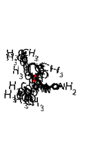 CC[C@H]1CCC[C@H](O[C@H]2CC[C@H](N(C)C)C(C)O2)[C@@H](C)C(=O)C2=C[C@@H]3[C@@H](C=C(n4cc(-c5ccc(N)cc5)nn4)[C@@H]4C[C@@H](O[C@@H]5OC(C)[C@H](OC)C(OC)C5OC)C[C@@H]34)[C@@H]2CC(=O)O1